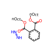 CCCCCCCCOC(=O)c1ccccc1C(=O)OCCCCCCCC.N=N